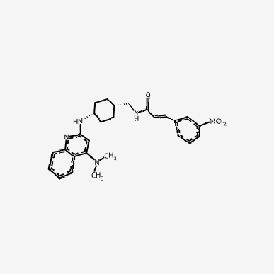 CN(C)c1cc(N[C@H]2CC[C@@H](CNC(=O)C=Cc3cccc([N+](=O)[O-])c3)CC2)nc2ccccc12